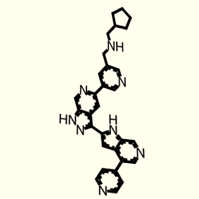 c1cc(-c2cncc3[nH]c(-c4n[nH]c5cnc(-c6cncc(CNCC7CCCC7)c6)cc45)cc23)ccn1